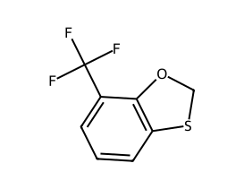 FC(F)(F)c1cccc2c1OCS2